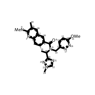 CNc1nc2ccc(C(=O)N(Cc3ccc(OC)nn3)C(C)c3ncn(C)n3)cc2cc1C